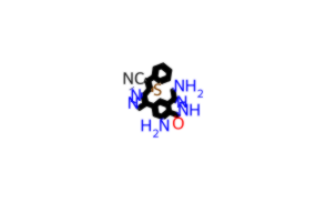 Cn1ncc(-c2cc(N)c3c(=O)[nH]nc(CN)c3c2)c1-c1sc2ccccc2c1C#N